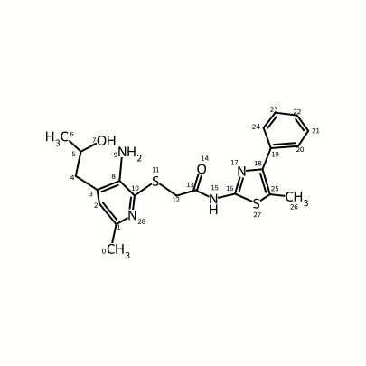 Cc1cc(CC(C)O)c(N)c(SCC(=O)Nc2nc(-c3ccccc3)c(C)s2)n1